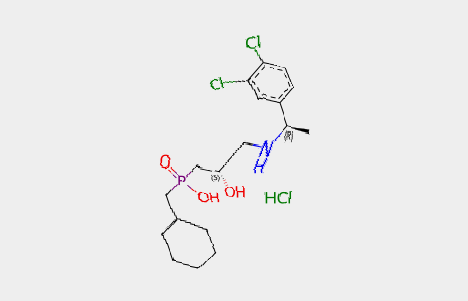 C[C@@H](NC[C@H](O)CP(=O)(O)CC1CCCCC1)c1ccc(Cl)c(Cl)c1.Cl